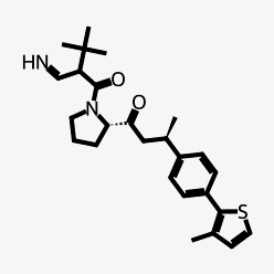 Cc1ccsc1-c1ccc([C@H](C)CC(=O)[C@@H]2CCCN2C(=O)C(C=N)C(C)(C)C)cc1